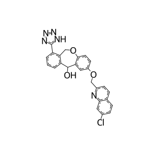 OC1c2cc(OCc3ccc4ccc(Cl)cc4n3)ccc2OCc2c(-c3nnn[nH]3)cccc21